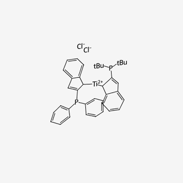 CC(C)(C)P(C1=Cc2ccccc2[CH]1[Ti+2][CH]1C(P(c2ccccc2)c2ccccc2)=Cc2ccccc21)C(C)(C)C.[Cl-].[Cl-]